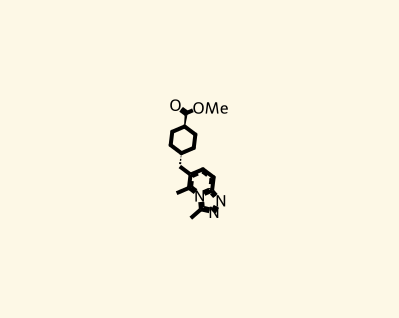 COC(=O)[C@H]1CC[C@H](Cc2ccc3nnc(C)n3c2C)CC1